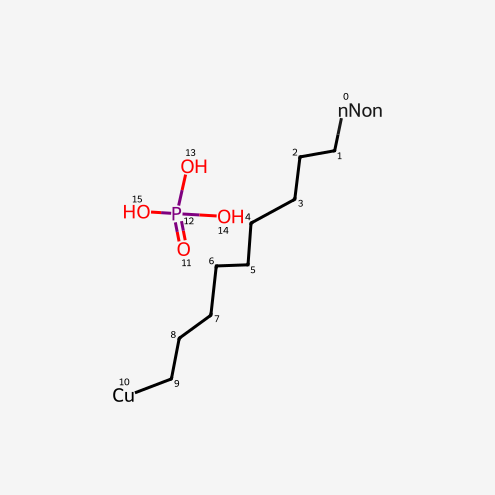 CCCCCCCCCCCCCCCCC[CH2][Cu].O=P(O)(O)O